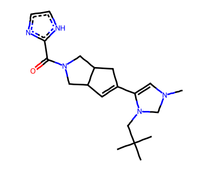 CN1C=C(C2=CC3CN(C(=O)c4ncc[nH]4)CC3C2)N(CC(C)(C)C)C1